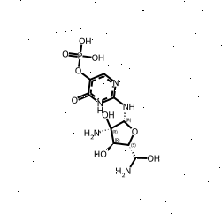 NC(O)[C@H]1O[C@@H](Nc2ncc(OP(=O)(O)O)c(=O)[nH]2)[C@](N)(O)[C@@H]1O